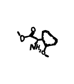 COC(=O)C(N)c1ccccc1OC